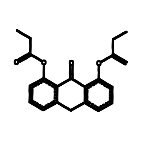 C=C(CC)Oc1cccc2c1C(=O)c1c(cccc1OC(=O)CC)C2